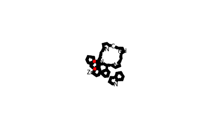 C1=Cc2cc3c(-c4ccccc4)c(-c4ccccc4)c(c(-c4ccccc4)c4nc(cc5ccc(cc1n2)[nH]5)C=C4)n3-c1ccccc1.[Zn].c1ccc2ncccc2c1